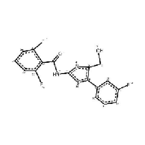 O=C(Nc1nc(CO)c(-c2cccc(F)c2)s1)c1c(F)cccc1F